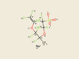 O=S(=O)([O-])C(F)(F)C(F)(F)OC(F)(C(F)(F)F)C(F)(F)OC(F)=C(F)F.[Na+]